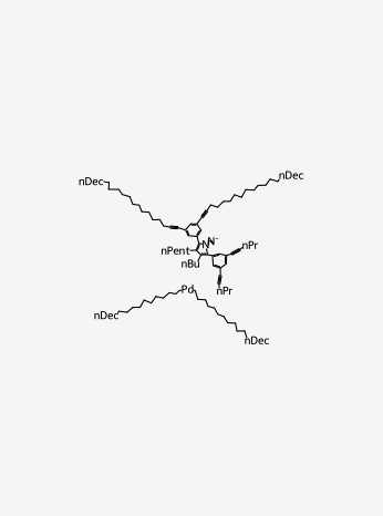 CCCC#Cc1cc(C#CCCC)cc(C2=C(CCCC)C(CCCCC)=C(c3cc(C#CCCCCCCCCCCCCCCCCCCCCCC)cc(C#CCCCCCCCCCCCCCCCCCCCCCC)c3)[N+]2=[N-])c1.CCCCCCCCCCCCCCCCCCCC[CH2][Pd][CH2]CCCCCCCCCCCCCCCCCCCC